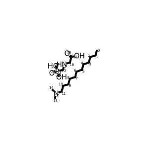 CCCCCCCCCCCCN(C)C.O=C(O)CNCP(=O)(O)O